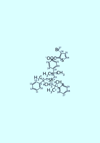 CC(C)([CH2][Sn+]([CH2]C(C)(C)c1ccccc1)[CH2]C(C)(C)c1ccccc1)c1ccccc1.O=C([O-])c1sccc1Br